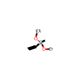 C#C[Si](C)(OCC)OCC